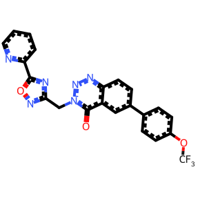 O=c1c2cc(-c3ccc(OC(F)(F)F)cc3)ccc2nnn1Cc1noc(-c2ccccn2)n1